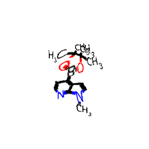 Cn1ccc2c(B3OC(C)(C)C(C)(C)O3)ccnc21